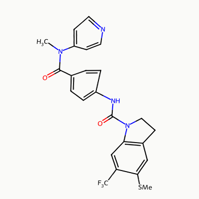 CSc1cc2c(cc1C(F)(F)F)N(C(=O)Nc1ccc(C(=O)N(C)c3ccncc3)cc1)CC2